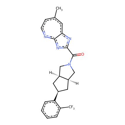 Cc1ccnc2nc(C(=O)N3C[C@H]4C[C@@H](c5ccccc5C(F)(F)F)C[C@H]4C3)nc-2c1